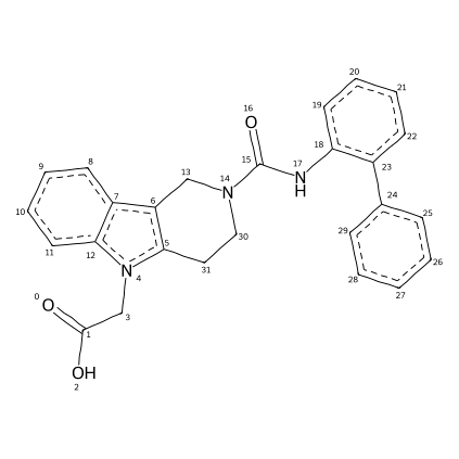 O=C(O)Cn1c2c(c3ccccc31)CN(C(=O)Nc1ccccc1-c1ccccc1)CC2